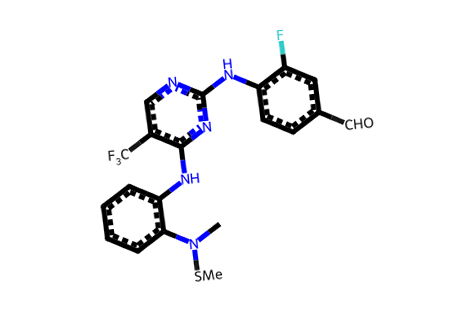 CSN(C)c1ccccc1Nc1nc(Nc2ccc(C=O)cc2F)ncc1C(F)(F)F